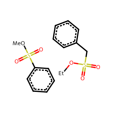 CCOS(=O)(=O)Cc1ccccc1.COS(=O)(=O)c1ccccc1